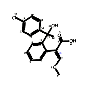 CO/C=C(/C(=O)O)c1ccccc1C(C)(O)c1ccc(Cl)cc1